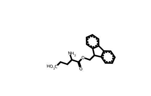 NC(CCC(=O)O)C(=O)OCC1c2ccccc2-c2ccccc21